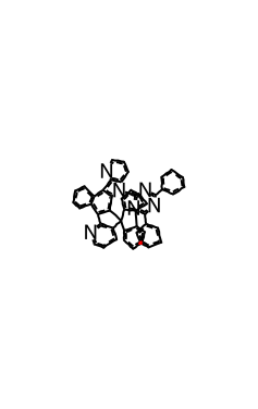 c1ccc(-c2nc(-c3ccccc3)nc(-n3c4cccnc4c4c5ccccc5c5c(c43)C3(c4ccccc4-c4ccccc43)c3cccnc3-5)n2)cc1